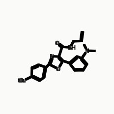 C=CCNC(=O)c1nc(-c2ccc(C(C)(C)C)cc2)oc1-c1cccc(N(C)C)c1